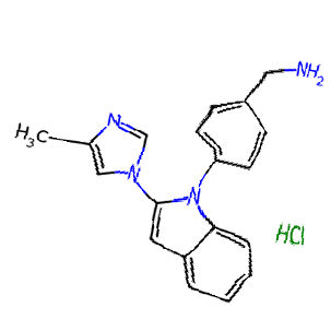 Cc1cn(-c2cc3ccccc3n2-c2ccc(CN)cc2)cn1.Cl